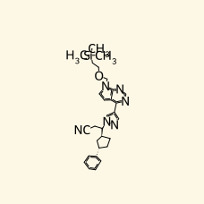 C[Si](C)(C)CCOCn1ccc2c(-c3cnn(C(CC#N)[C@H]4CC[C@H](c5ccccc5)C4)c3)ncnc21